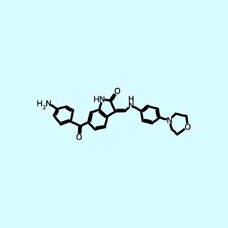 Nc1ccc(C(=O)c2ccc3c(c2)NC(=O)C3=CNc2ccc(N3CCOCC3)cc2)cc1